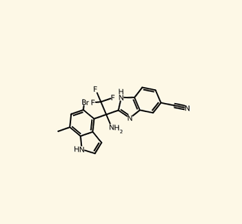 Cc1cc(Br)c(C(N)(c2nc3cc(C#N)ccc3[nH]2)C(F)(F)F)c2cc[nH]c12